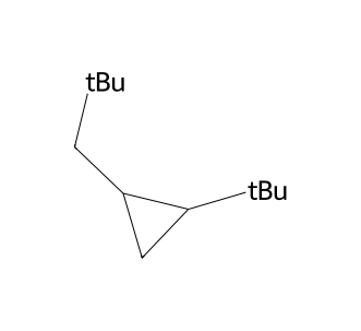 CC(C)(C)CC1CC1C(C)(C)C